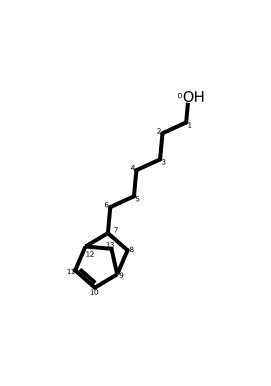 OCCCCCCC1CC2C=CC1C2